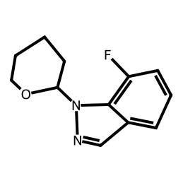 Fc1cccc2cnn(C3CCCCO3)c12